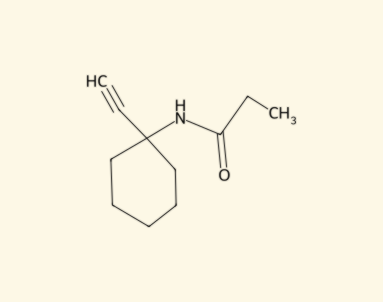 C#CC1(NC(=O)CC)CCCCC1